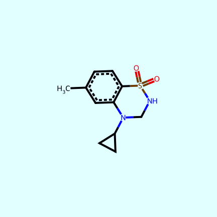 Cc1ccc2c(c1)N(C1CC1)CNS2(=O)=O